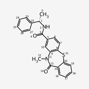 C[C@H](NC(=O)c1ccc2c(c1)N(C)C(=O)c1ccccc1S2)c1ccccc1